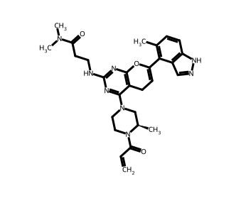 C=CC(=O)N1CCN(c2nc(NCCC(=O)N(C)C)nc3c2CC=C(c2c(C)ccc4[nH]ncc24)O3)C[C@H]1C